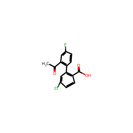 CC(=O)c1cc(F)ccc1-c1cc(Cl)ccc1C(=O)O